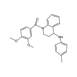 COc1ccc(C(=O)N2CCC(Nc3ccc(C)cc3)c3ccccc32)cc1OC